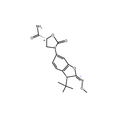 CO/N=c1/oc2cc(N3C[C@H](C(N)=O)OC3=O)ccc2n1C(C)(C)C